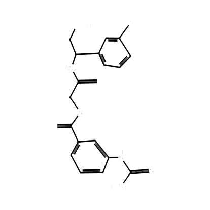 N=C(N)Nc1cccc(C(=O)NCC(=O)NC(CC(=O)O)c2cccc(Cl)c2)c1